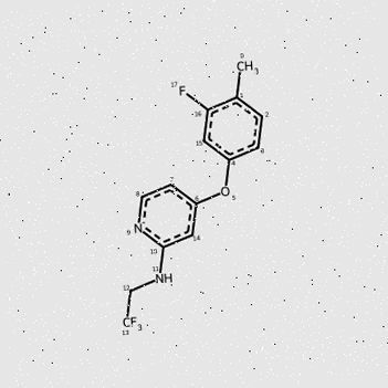 Cc1ccc(Oc2ccnc(NCC(F)(F)F)c2)cc1F